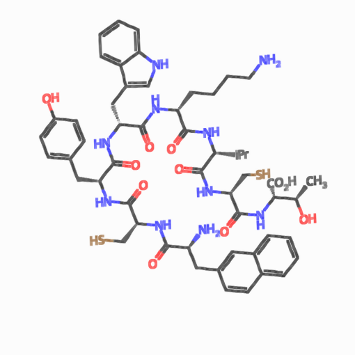 CC(C)[C@H](NC(=O)[C@H](CCCCN)NC(=O)[C@@H](Cc1c[nH]c2ccccc12)NC(=O)[C@H](Cc1ccc(O)cc1)NC(=O)[C@H](CS)NC(=O)[C@@H](N)Cc1ccc2ccccc2c1)C(=O)N[C@@H](CS)C(=O)N[C@H](C(=O)O)[C@@H](C)O